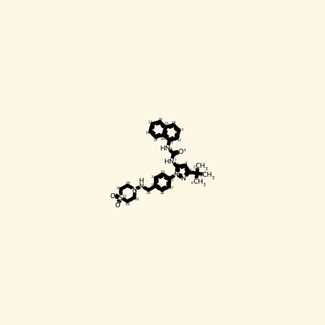 CC(C)(C)c1cc(NC(=O)Nc2cccc3ccccc23)n(-c2ccc(CNN3CCS(=O)(=O)CC3)cc2)n1